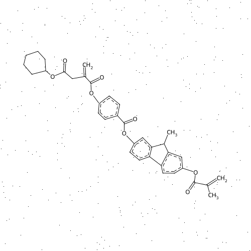 C=C(C)C(=O)Oc1ccc2c(c1)C(C)c1cc(OC(=O)c3ccc(OC(=O)C(=C)CC(=O)OC4CCCCC4)cc3)ccc1-2